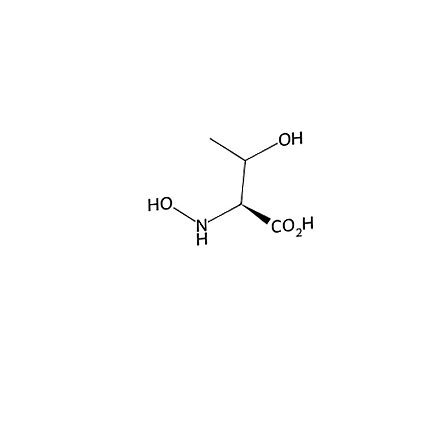 CC(O)[C@H](NO)C(=O)O